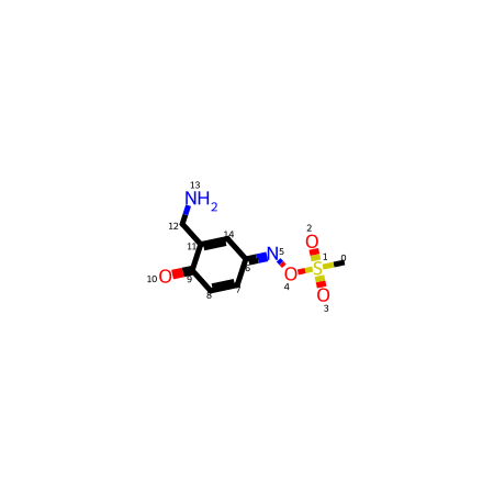 CS(=O)(=O)ON=C1C=CC(=O)C(CN)=C1